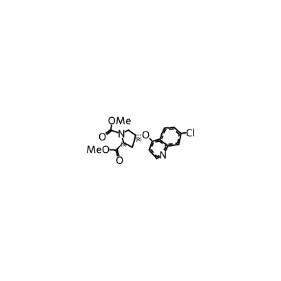 COC(=O)[C@@H]1C[C@@H](Oc2ccnc3cc(Cl)ccc23)CN1C(=O)OC